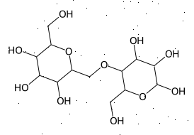 OCC1OC(COC2C(CO)OC(O)C(O)C2O)C(O)C(O)C1O